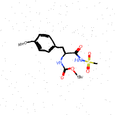 COc1ccc(CC(NC(=O)OC(C)(C)C)C(=O)NS(C)(=O)=O)cc1